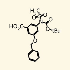 CC(C)(C)OC(=O)N(c1cc(OCc2ccccc2)cc(C(=O)O)c1)S(C)(=O)=O